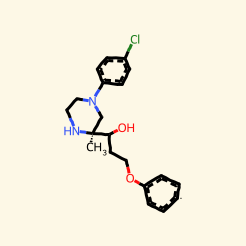 C[C@@]1(C(O)CCOc2cc[c]cc2)CN(c2ccc(Cl)cc2)CCN1